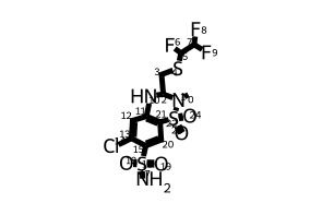 CN1C(CSC(F)C(F)F)Nc2cc(Cl)c(S(N)(=O)=O)cc2S1(=O)=O